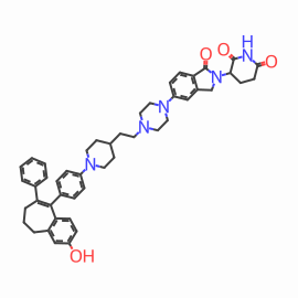 O=C1CCC(N2Cc3cc(N4CCN(CCC5CCN(c6ccc(C7=C(c8ccccc8)CCCc8cc(O)ccc87)cc6)CC5)CC4)ccc3C2=O)C(=O)N1